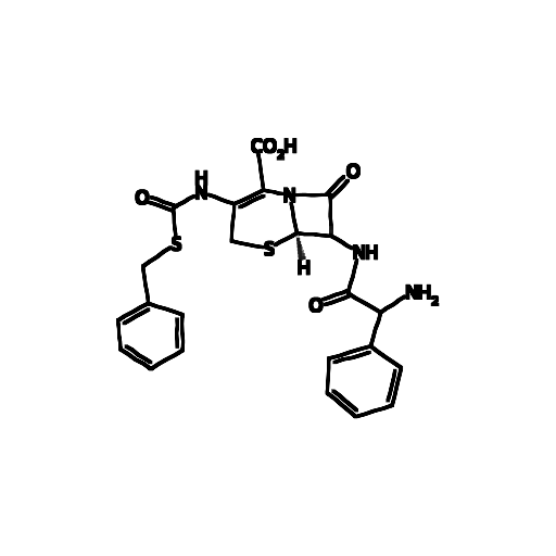 NC(C(=O)NC1C(=O)N2C(C(=O)O)=C(NC(=O)SCc3ccccc3)CS[C@H]12)c1ccccc1